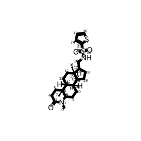 CN1C(=O)CC[C@@]2(C)C1CC[C@@H]1[C@H]2CC[C@]2(C)C(CNS(=O)(=O)c3cccs3)CC[C@@H]12